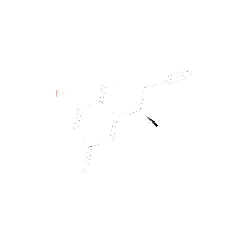 C[C@H](CC#N)C1=CC(=O)C=C(O)C1=O